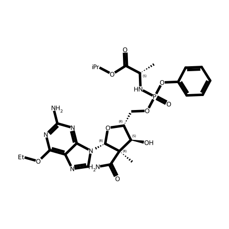 CCOc1nc(N)nc2c1ncn2[C@@H]1O[C@H](COP(=O)(N[C@@H](C)C(=O)OC(C)C)Oc2ccccc2)[C@@H](O)[C@@]1(C)C(N)=O